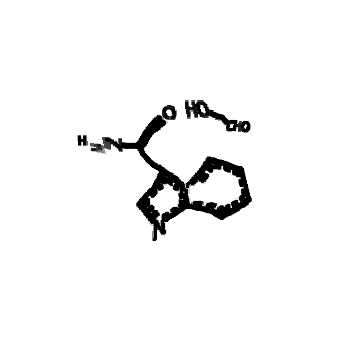 NC(=O)c1cnc2ccccn12.O=CO